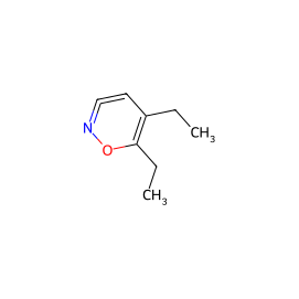 CCC1=C(CC)ON=C=C1